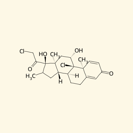 CC1C[C@H]2[C@@H]3CCC4=CC(=O)C=C[C@]4(C)[C@@]3(Cl)[C@@H](O)C[C@]2(C)[C@@]1(O)C(=O)CCl